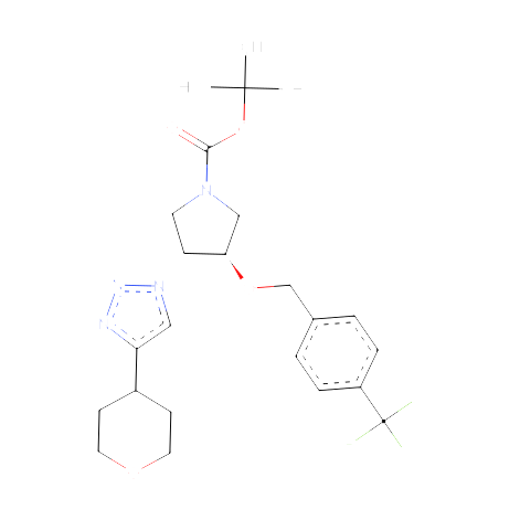 CC(C)(C)OC(=O)N1C[C@@H](n2cc(C3CCOCC3)nn2)[C@H](OCc2ccc(C(F)(F)F)cc2)C1